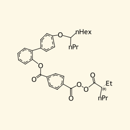 CCCCCCC(CCC)Oc1ccc(-c2ccccc2OC(=O)c2ccc(C(=O)OOC(=O)[C@H](CC)CCC)cc2)cc1